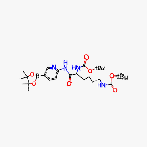 CC(C)(C)OC(=O)NCCCCC(NC(=O)OC(C)(C)C)C(=O)Nc1ccc(B2OC(C)(C)C(C)(C)O2)cn1